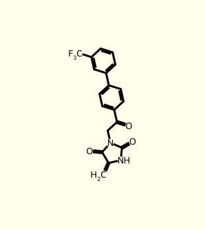 C=C1NC(=O)N(CC(=O)c2ccc(-c3cccc(C(F)(F)F)c3)cc2)C1=O